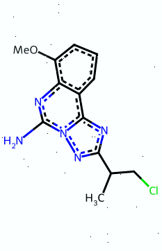 COc1cccc2c1nc(N)n1nc(C(C)CCl)nc21